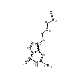 Nc1nc2c(ncn2CCOCC=O)c(=O)[nH]1